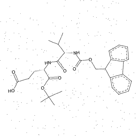 CC(C)[C@H](NC(=O)OCC1c2ccccc2-c2ccccc21)C(=O)N[C@@H](CCC(=O)O)C(=O)OC(C)(C)C